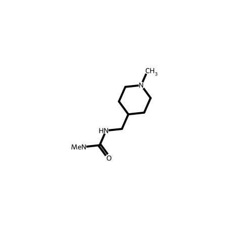 CNC(=O)NCC1CCN(C)CC1